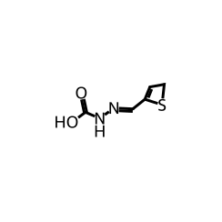 O=C(O)NN=CC1=CCS1